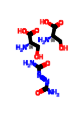 NC(=O)N=NC(N)=O.N[C@@H](CO)C(=O)O.N[C@@H](CO)C(=O)O